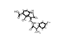 CC(C(=O)NN=C1C(=O)Nc2ccc(C(=O)O)c(Cl)c21)c1ccc(F)cc1